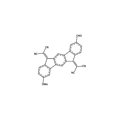 COc1ccc2c(c1)-c1cc3c(cc1C2=C(C#N)C#N)-c1cc(C=O)ccc1C3=C(C#N)C#N